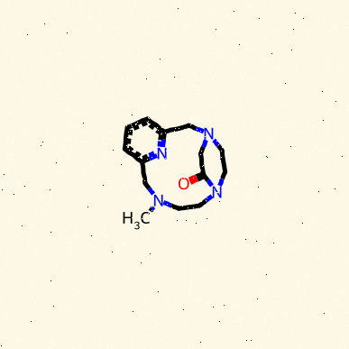 CN1CCN2CCN(CC2=O)Cc2cccc(n2)C1